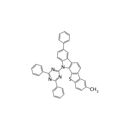 Cc1ccc2sc3c(ccc4c5cc(-c6ccccc6)ccc5n(-c5nc(-c6ccccc6)nc(-c6ccccc6)n5)c43)c2c1